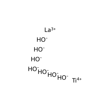 [La+3].[OH-].[OH-].[OH-].[OH-].[OH-].[OH-].[OH-].[Ti+4]